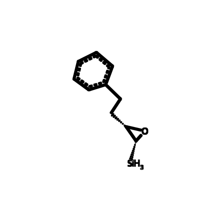 [SiH3][C@H]1O[C@H]1CCc1ccccc1